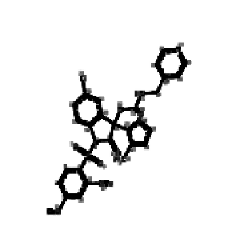 COc1ccc(S(=O)(=O)N2C(=O)C(OC(=O)NCc3ccncc3)(c3sccc3C)c3cc(Cl)ccc32)c(OC)c1